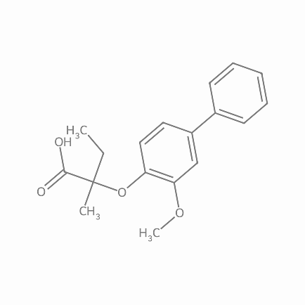 CCC(C)(Oc1ccc(-c2ccccc2)cc1OC)C(=O)O